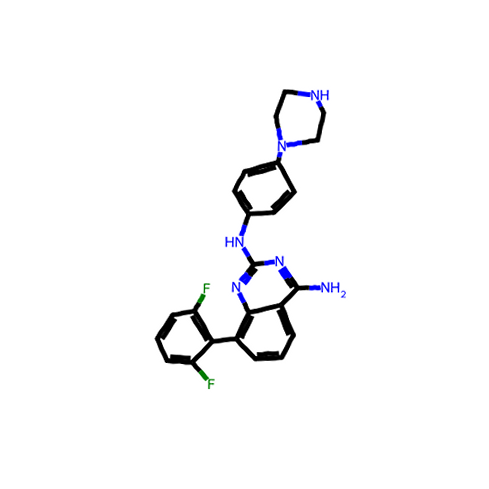 Nc1nc(Nc2ccc(N3CCNCC3)cc2)nc2c(-c3c(F)cccc3F)cccc12